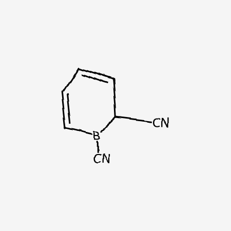 N#CB1C=CC=CC1C#N